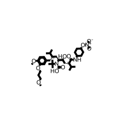 COCCCOc1cc(C[C@@H](C[C@@H]([C@@H](O)C[C@H](C(=O)NC2CCC(O[N+](=O)[O-])CC2)C(C)C)N(C(=O)O)C(C)(C)C)C(C)C)ccc1OC